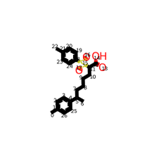 Cc1ccc(C(C)CCCCC(C(=O)O)S(=O)(=O)c2ccc(C)cc2)cc1